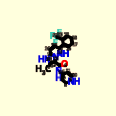 CC1=C(C(=O)NC2=CCNC=C2)N2NC(c3ccccc3C(F)(F)F)C=CC2N1